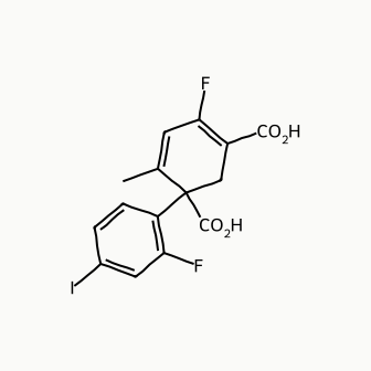 CC1=CC(F)=C(C(=O)O)CC1(C(=O)O)c1ccc(I)cc1F